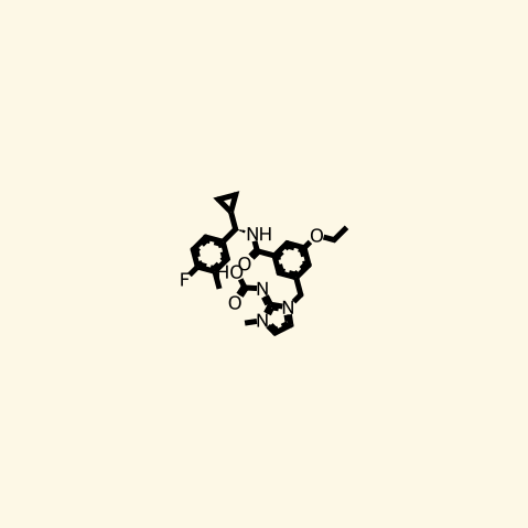 CCOc1cc(Cn2ccn(C)/c2=N\C(=O)O)cc(C(=O)N[C@H](c2ccc(F)c(C)c2)C2CC2)c1